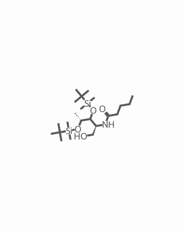 CCCCC(=O)N[C@@H](CO)C(O[Si](C)(C)C(C)(C)C)[C@@H](C)O[Si](C)(C)C(C)(C)C